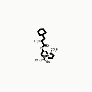 CC[C@H](C)[C@H](N[N+]1(C[C@H](CC(C)C)NC(=O)[C@@H](N)CC2CCCCC2)CCC[C@H]1C(=O)O)C(=O)O